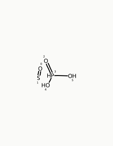 O=S.O=[PH](O)O